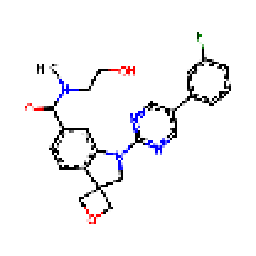 CN(CCO)C(=O)c1ccc2c(c1)N(c1ncc(-c3cccc(F)c3)cn1)CC21COC1